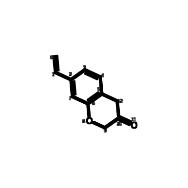 C=Cc1ccc2c(c1)OCC(=O)C2